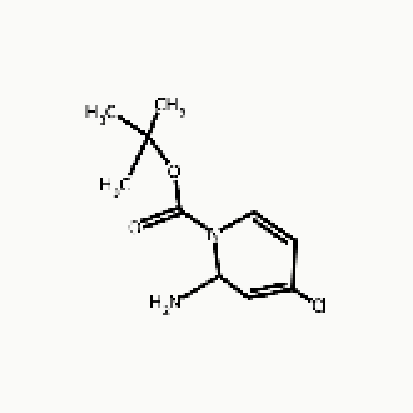 CC(C)(C)OC(=O)N1C=CC(Cl)=CC1N